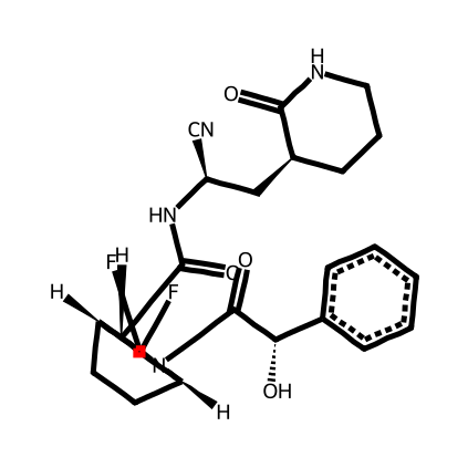 N#C[C@@H](C[C@@H]1CCCNC1=O)NC(=O)[C@H]1[C@H]2CC[C@H](CC2(F)F)N1C(=O)[C@@H](O)c1ccccc1